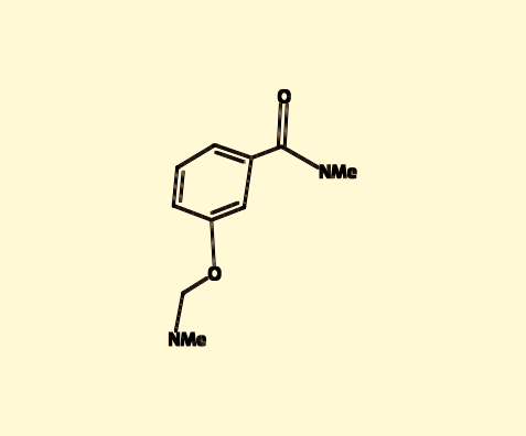 CNCOc1cccc(C(=O)NC)c1